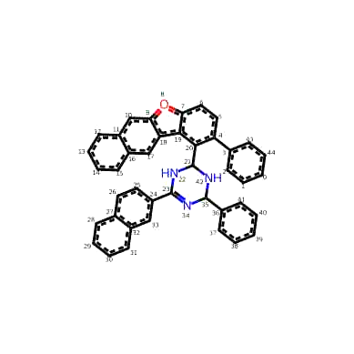 c1ccc(-c2ccc3oc4cc5ccccc5cc4c3c2C2NC(c3ccc4ccccc4c3)=NC(c3ccccc3)N2)cc1